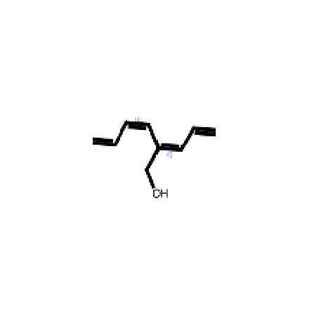 C=C/C=C\C(=C/C=C)CO